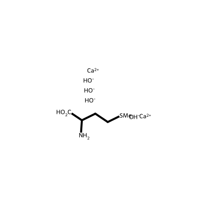 CSCCC(N)C(=O)O.[Ca+2].[Ca+2].[OH-].[OH-].[OH-].[OH-]